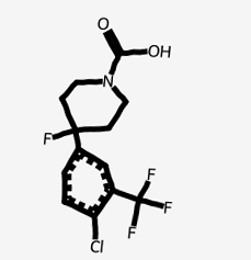 O=C(O)N1CCC(F)(c2ccc(Cl)c(C(F)(F)F)c2)CC1